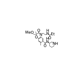 CCC(=O)NCCN1C(=O)C(C)(COC)Oc2cc(C)c(C(=O)N[C@@H]3CCCNC3)cc21